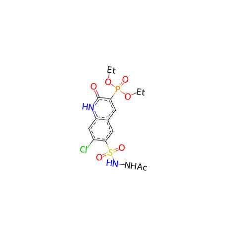 CCOP(=O)(OCC)c1cc2cc(S(=O)(=O)NNC(C)=O)c(Cl)cc2[nH]c1=O